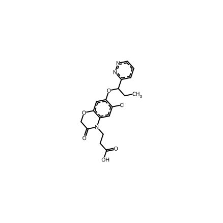 CCC(Oc1cc2c(cc1Cl)N(CCC(=O)O)C(=O)CO2)c1cccnn1